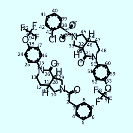 O=C(Cc1ccccc1)N1C[C@@H]2CCN(c3ccc(OC(F)(F)F)cc3)C(=O)[C@@H]2C1.O=C1[C@@H]2CN(S(=O)(=O)c3ccccc3Cl)C[C@@H]2CCN1c1ccc(OC(F)(F)F)cc1